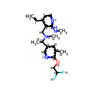 C=Cc1ccnc(NC)c1CN(C)C(C)c1cnc(OCC(F)F)c(C)c1